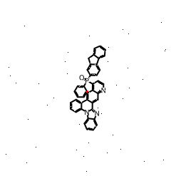 O=P(c1ccccc1)(c1ccc2c(c1)Cc1ccccc1-2)c1ccnc2cc3c(cc12)c1ccccc1n1c2ccccc2nc31